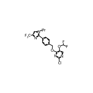 CC(C)n1cc(C(F)(F)F)nc1-c1ccc(COc2nc(Cl)ncc2OC(F)F)cc1